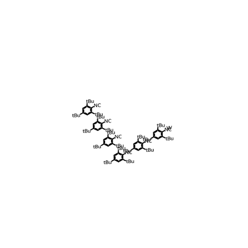 [C-]#[N+]c1c(C(C)(C)C)cc(C(C)(C)C)cc1C(C)(C)C.[C-]#[N+]c1c(C(C)(C)C)cc(C(C)(C)C)cc1C(C)(C)C.[C-]#[N+]c1c(C(C)(C)C)cc(C(C)(C)C)cc1C(C)(C)C.[C-]#[N+]c1c(C(C)(C)C)cc(C(C)(C)C)cc1C(C)(C)C.[C-]#[N+]c1c(C(C)(C)C)cc(C(C)(C)C)cc1C(C)(C)C.[C-]#[N+]c1c(C(C)(C)C)cc(C(C)(C)C)cc1C(C)(C)C.[W]